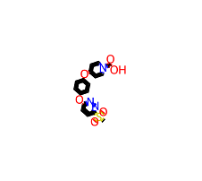 CS(=O)(=O)c1ccc(O[C@H]2CC[C@H](OC3CCN(C(=O)O)CC3)CC2)nn1